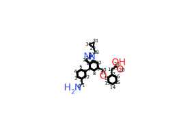 NCc1cccc(-c2cc(COc3ccccc3CC(=O)O)cc3c2cnn3CC2CC2)c1